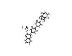 CCCc1nc2ccccc2nc1-c1ccc(-c2ccc(-c3nc4ccccc4o3)cc2)cc1